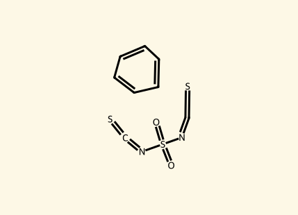 O=S(=O)(N=C=S)N=C=S.c1ccccc1